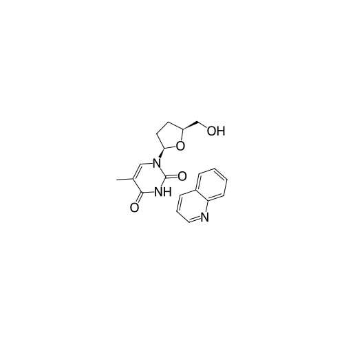 Cc1cn([C@H]2CC[C@@H](CO)O2)c(=O)[nH]c1=O.c1ccc2ncccc2c1